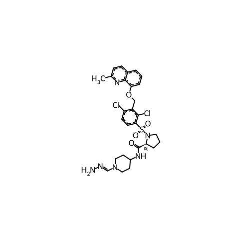 Cc1ccc2cccc(OCc3c(Cl)ccc(S(=O)(=O)N4CCC[C@H]4C(=O)NC4CCN(C=NN)CC4)c3Cl)c2n1